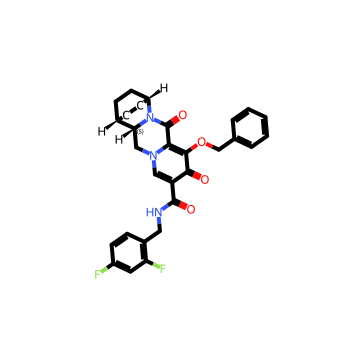 O=C(NCc1ccc(F)cc1F)c1cn2c(c(OCc3ccccc3)c1=O)C(=O)N1[C@H]3CC[C@H](CC3)[C@H]1C2